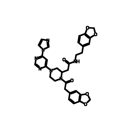 O=C(CC1CN(c2cc(-n3ccnc3)ncn2)CCN1C(=O)Cc1ccc2c(c1)OCO2)NCCc1ccc2c(c1)OCO2